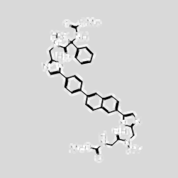 CCCN(Cc1ncc(-c2ccc3cc(-c4ccc(-c5cnc(CN(CCC)C(=O)[C@](C)(NC(=O)OC)c6ccccc6)[nH]5)cc4)ccc3c2)[nH]1)C(=O)CNC(=O)OC